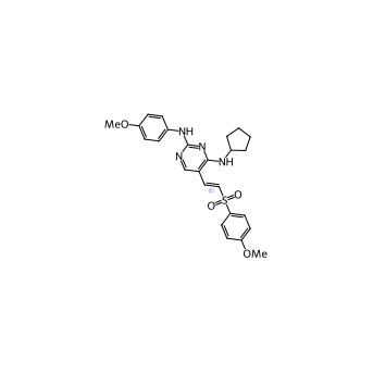 COc1ccc(Nc2ncc(/C=C/S(=O)(=O)c3ccc(OC)cc3)c(NC3CCCC3)n2)cc1